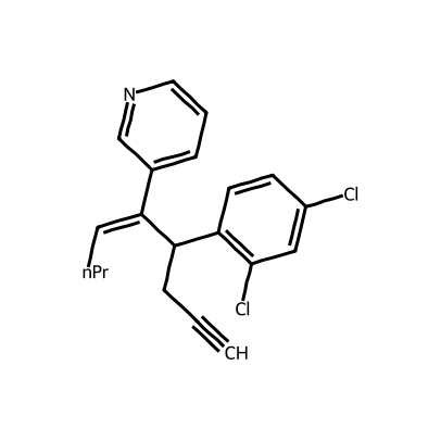 C#CCC(C(=CCCC)c1cccnc1)c1ccc(Cl)cc1Cl